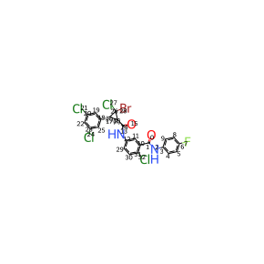 O=C(Nc1ccc(F)cc1)c1cc(NC(=O)[C@H]2[C@H](c3cc(Cl)cc(Cl)c3)C2(Cl)Br)ccc1Cl